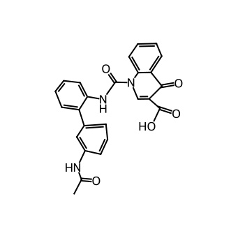 CC(=O)Nc1cccc(-c2ccccc2NC(=O)n2cc(C(=O)O)c(=O)c3ccccc32)c1